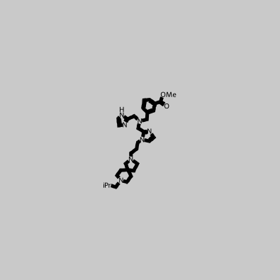 COC(=O)c1cccc(CN(Cc2ncc[nH]2)Cc2nccn2CCCN2CCC3(CCN(CC(C)C)CC3)C2)c1